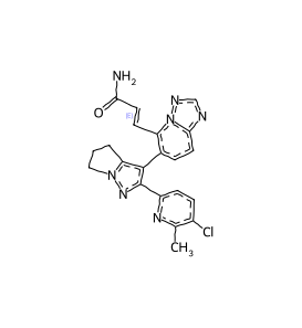 Cc1nc(-c2nn3c(c2-c2ccc4ncnn4c2/C=C/C(N)=O)CCC3)ccc1Cl